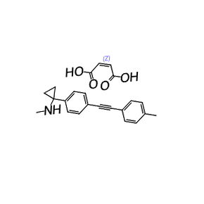 CNC1(c2ccc(C#Cc3ccc(C)cc3)cc2)CC1.O=C(O)/C=C\C(=O)O